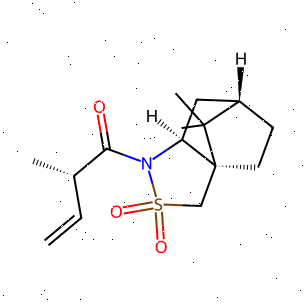 C=C[C@H](C)C(=O)N1[C@H]2C[C@@H]3CC[C@@]2(CS1(=O)=O)C3(C)C